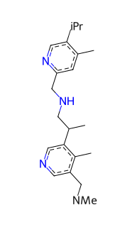 CNCc1cncc(C(C)CNCc2cc(C)c(C(C)C)cn2)c1C